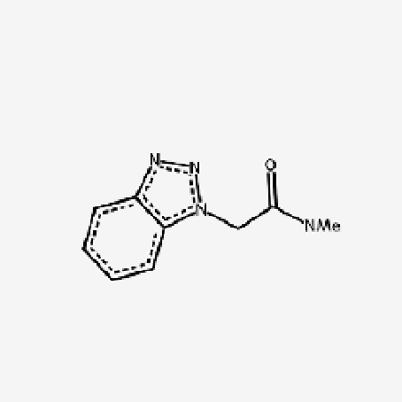 CNC(=O)Cn1nnc2ccccc21